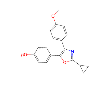 COc1ccc(-c2nc(C3CC3)oc2-c2ccc(O)cc2)cc1